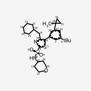 CC(C)(C)c1cc(-c2sc(S(=O)(=O)NC3CCOCC3)nc2CC2CCCCC2)cc(C2(C)CC2)c1